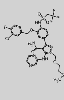 C[Si](C)(C)CCOCn1nc(-c2ccc(NS(=O)(=O)CC(F)(F)F)c(OCc3ccc(F)c(Cl)c3)c2)c(C(N)=O)c1Nc1cnccn1